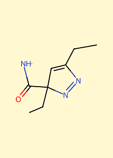 CCC1=CC(CC)(C([NH])=O)N=N1